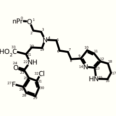 CCCOCCN(CCCCc1ccc2c(n1)NCCC2)CCC(NC(=O)c1c(F)cccc1Cl)C(=O)O